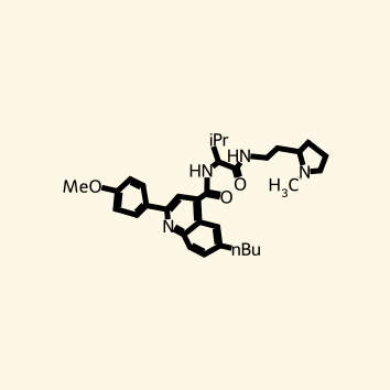 CCCCc1ccc2nc(-c3ccc(OC)cc3)cc(C(=O)NC(C(=O)NCCC3CCCN3C)C(C)C)c2c1